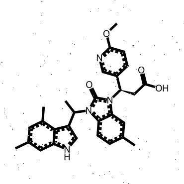 COc1ccc([C@@H](CC(=O)O)n2c(=O)n(C(C)c3c[nH]c4cc(C)cc(C)c34)c3ccc(C)cc32)cn1